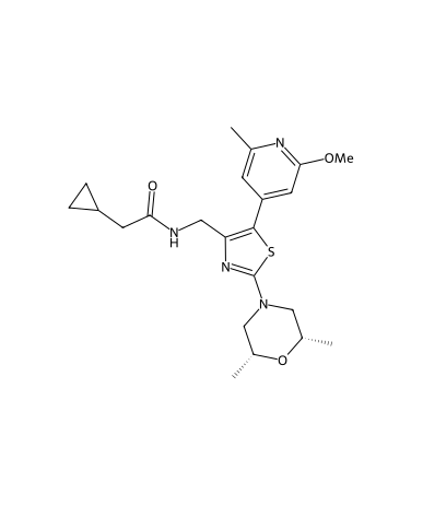 COc1cc(-c2sc(N3C[C@@H](C)O[C@@H](C)C3)nc2CNC(=O)CC2CC2)cc(C)n1